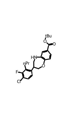 CCCc1c(C2CNc3cc(C(=O)OC(C)(C)C)ccc3OC2)ccc(Cl)c1F